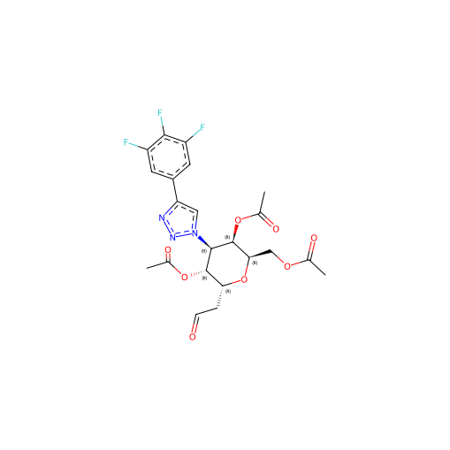 CC(=O)OC[C@H]1O[C@H](CC=O)[C@H](OC(C)=O)[C@@H](n2cc(-c3cc(F)c(F)c(F)c3)nn2)[C@H]1OC(C)=O